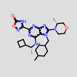 CC1CCC(Cn2c(N3CCOC[C@H]3C)nc3nc(-c4noc(=O)[nH]4)nc(N[C@H](C)C4CCC4)c32)CC1